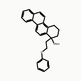 CCCCCCCCCC1(CCOc2ccccc2)CCCc2c1ccc1c2ccc2ccccc21